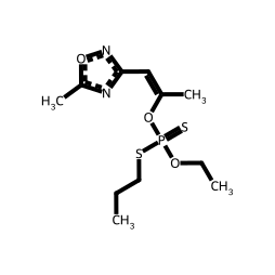 CCCSP(=S)(OCC)OC(C)=Cc1noc(C)n1